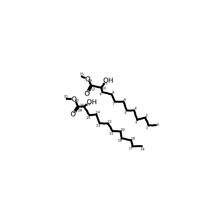 CCCCCCCCCCC(O)C(=O)OC.CCCCCCCCCCC(O)C(=O)OC